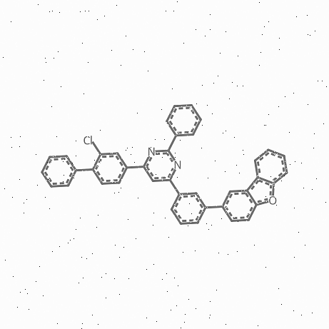 Clc1cc(-c2cc(-c3cccc(-c4ccc5oc6ccccc6c5c4)c3)nc(-c3ccccc3)n2)ccc1-c1ccccc1